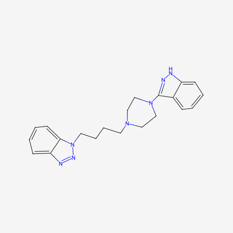 c1ccc2c(c1)nnn2CCCCN1CCN(c2n[nH]c3ccccc23)CC1